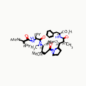 CC[C@@H](C)[C@@H]([C@@H](CC(=O)N1CCCC1[C@H](OC)[C@@H](C)C(=O)N[C@@H](Cc1ccccc1)C(=O)O)OC)N(C)C(=O)C(NC(=O)C(NC)C(C)C)C(C)C